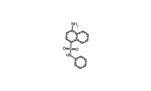 Nc1ccc(S(=O)(=O)Nc2ccccc2)c2ccccc12